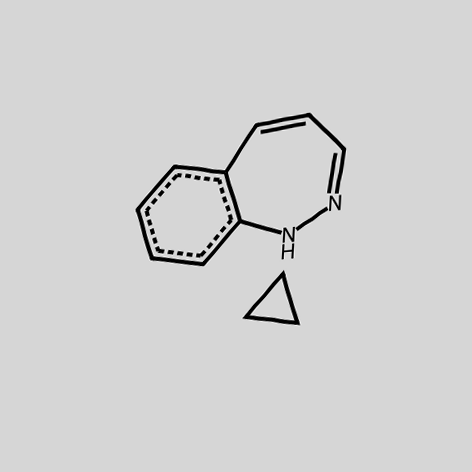 C1=Cc2ccccc2NN=C1.C1CC1